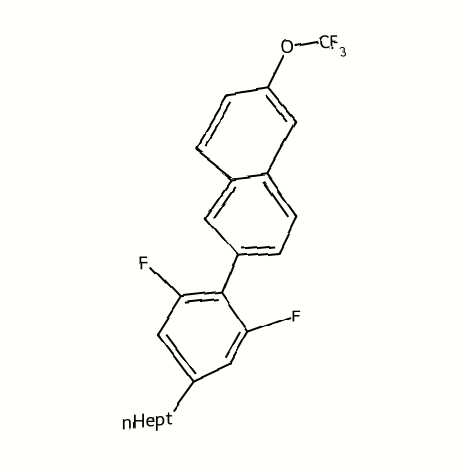 CCCCCCCc1cc(F)c(-c2ccc3cc(OC(F)(F)F)ccc3c2)c(F)c1